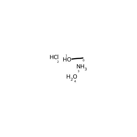 CO.Cl.N.O